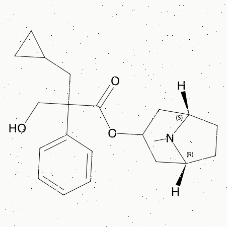 CN1[C@@H]2CC[C@H]1CC(OC(=O)C(CO)(CC1CC1)c1ccccc1)C2